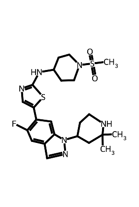 CC1(C)CC(n2ncc3cc(F)c(-c4cnc(NC5CCN(S(C)(=O)=O)CC5)s4)cc32)CCN1